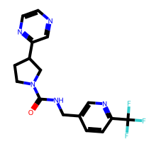 O=C(NCc1ccc(C(F)(F)F)nc1)N1CCC(c2cnccn2)C1